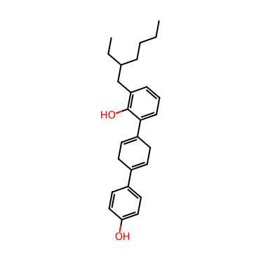 CCCCC(CC)Cc1cccc(C2=CCC(c3ccc(O)cc3)=CC2)c1O